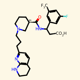 O=C(O)CC(NC(=O)[C@@H]1CCCN(CCCc2ccc3c(n2)NCCC3)C1)c1cc(F)cc(C(F)(F)F)c1